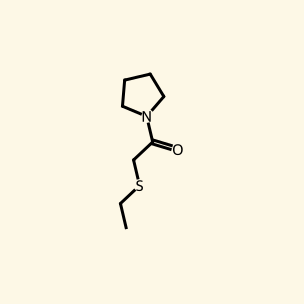 CCSCC(=O)N1CCCC1